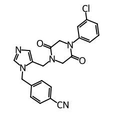 N#Cc1ccc(Cn2cncc2CN2CC(=O)N(c3cccc(Cl)c3)CC2=O)cc1